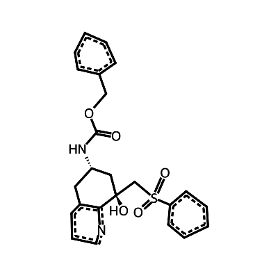 O=C(N[C@H]1Cc2cccnc2[C@@](O)(CS(=O)(=O)c2ccccc2)C1)OCc1ccccc1